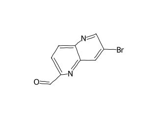 O=Cc1ccc2ncc(Br)cc2n1